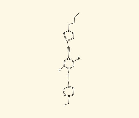 CCCCc1ccc(C#Cc2cc(F)c(C#Cc3ccc(CC)cc3)cc2F)cc1